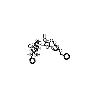 O=c1nc(OCc2ccccc2)ccn1[C@@H]1O[C@H](COP(=O)(O)OP(=O)(O)OP(=O)(O)Nc2ccccc2)C(O)[C@@H]1O